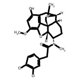 COc1cc(O)c2c3c1O[C@H]1[C@@H](N(C)C(=O)Cc4ccc(Cl)c(Cl)c4)CC[C@H]4[C@@H](C2)N(C)CC[C@@]341